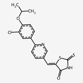 CC(C)Oc1ccc(-c2ccc(/C=C3\SC(=S)NC3=O)cn2)cc1Cl